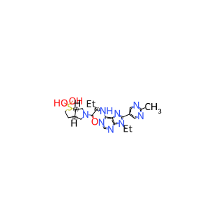 CC[C@@H](Nc1ncnc2c1nc(-c1cnc(C)nc1)n2CC)C(=O)N1C[C@H]2CCS(O)(O)[C@H]2C1